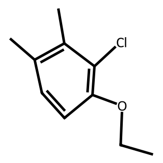 CCOc1ccc(C)c(C)c1Cl